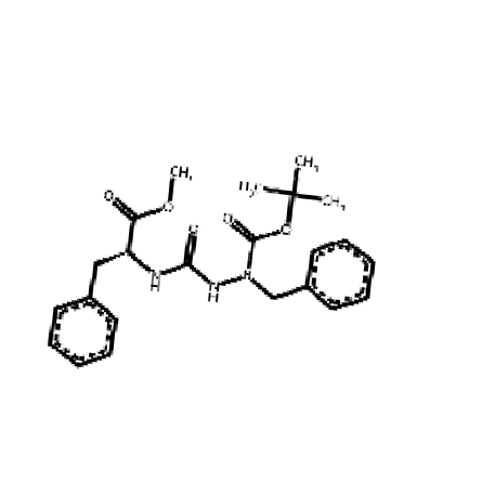 COC(=O)[C@H](Cc1ccccc1)NC(=O)NN(Cc1ccccc1)C(=O)OC(C)(C)C